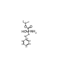 CC(C)OC(=O)[C@](N)(O)CCc1ccccc1